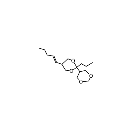 CCC/C=C/C1COC(CCC)(C2COCOC2)OC1